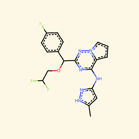 Cc1cc(Nc2nc(C(OCC(F)F)c3ccc(F)cc3)nn3cccc23)n[nH]1